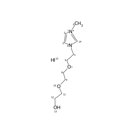 C[n+]1ccn(CCOCCOCCO)c1.I